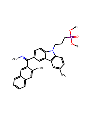 CCOP(=O)(CCCn1c2ccc(/C(=N/OC(C)=O)c3cc4ccccc4cc3OC)cc2c2cc([N+](=O)[O-])ccc21)OCC